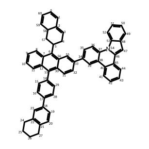 C1=CC2=CCC(c3c4ccccc4c(-c4ccc(-c5ccc6c(c5)CCCC6)cc4)c4ccc(-c5ccc6c(c5)c5ccccc5c5cc7ccccc7n65)cc34)CC2C=C1